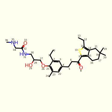 CCc1cc(CCC(=O)c2sc(CC)c3c2CCC(C)(C)C3)cc(C)c1OCC(O)CNC(=O)CNC